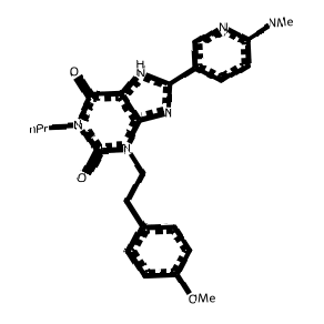 CCCn1c(=O)c2[nH]c(-c3ccc(NC)nc3)nc2n(CCc2ccc(OC)cc2)c1=O